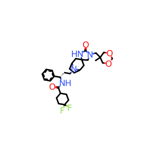 CC1(CN2CC3(CC4CCC(C3)N4CC[C@H](NC(=O)C3CCC(F)(F)CC3)c3ccccc3)NC2=O)COCOC1